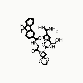 N=C(N)c1csc([C@@H](CO)NC(=O)[C@@H]2CC3(CN2C(=O)CNC(=O)c2ccc4c(c2)-c2ccccc2C4(F)F)OCCO3)c1